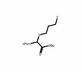 CCCCCC(SCCCF)C(=O)OCC(C)C